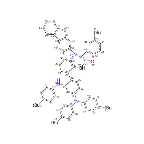 CC(C)(C)c1ccc(Nc2cc(N(c3ccc(C(C)(C)C)cc3)c3ccc(C(C)(C)C)cc3)ccc2-c2ccc3c4cc5c(cc4n4c3c2Bc2oc3ccc(C(C)(C)C)cc3c2-4)sc2ccccc25)cc1